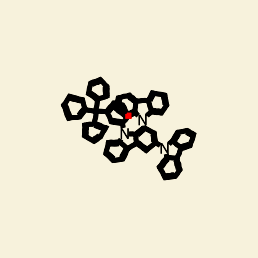 c1ccc(C(c2ccccc2)(c2ccccc2)c2cccc(-n3c4ccccc4c4cc(-n5c6ccccc6c6ccccc65)cc(-n5c6ccccc6c6ccccc65)c43)c2)cc1